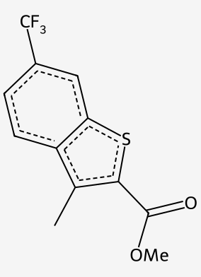 COC(=O)c1sc2cc(C(F)(F)F)ccc2c1C